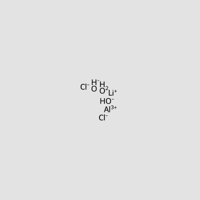 O.[Al+3].[Cl-].[Cl-].[Li+].[OH-].[OH-]